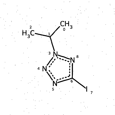 CC(C)n1nnc(I)n1